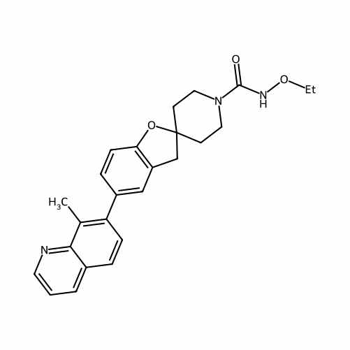 CCONC(=O)N1CCC2(CC1)Cc1cc(-c3ccc4cccnc4c3C)ccc1O2